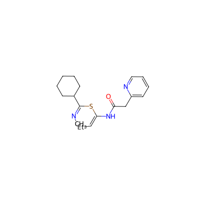 CC/C=C(/NC(=O)Cc1ccccn1)S/C(=N\C)C1CCCCC1